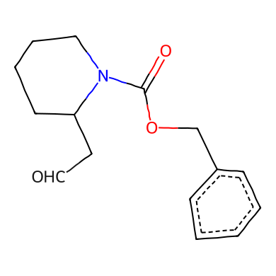 O=CCC1CCCCN1C(=O)OCc1ccccc1